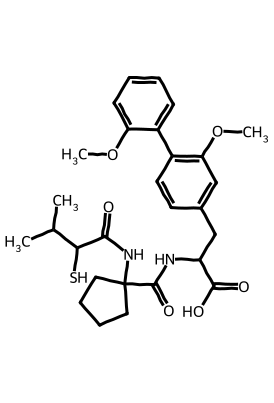 COc1ccccc1-c1ccc(CC(NC(=O)C2(NC(=O)C(S)C(C)C)CCCC2)C(=O)O)cc1OC